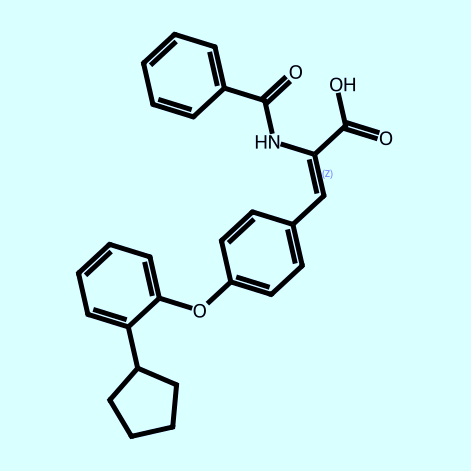 O=C(O)/C(=C/c1ccc(Oc2ccccc2C2CCCC2)cc1)NC(=O)c1ccccc1